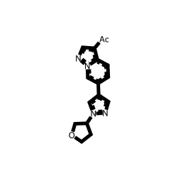 CC(=O)c1cnn2cc(-c3cnn(C4CCOC4)c3)ccc12